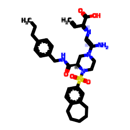 C=C/C(=N\C=C(/N)N1CCN(S(=O)(=O)c2ccc3c(c2)CCCCC3)[C@@H](C(=O)NCc2ccc(CCC)cc2)C1)C(=O)O